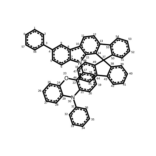 c1ccc(-c2ccc3c(c2)c2ccc4c(c2n3-c2cccc3c2Oc2ccccc2N3c2ccccc2)C2(c3ccccc3-c3ccccc32)c2ccccc2-4)cc1